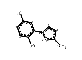 Cc1ccn(-c2cc(Cl)ccc2C(C)C)n1